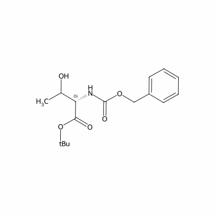 CC(O)[C@H](NC(=O)OCc1ccccc1)C(=O)OC(C)(C)C